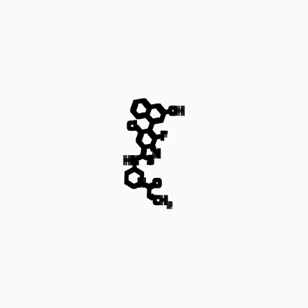 C=CC(=O)N1CCCC(Nc2snc3c(F)c(-c4cc(O)cc5ccccc45)c(Cl)cc23)C1